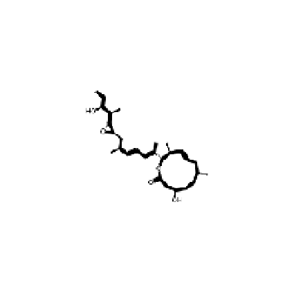 CC[C@H](O)[C@@H](C)[C@H]1O[C@@H]1C[C@H](C)/C=C/C=C(\C)[C@H]1OC(=O)C[C@H](O)CC[C@H](C)C/C=C/[C@@H]1C